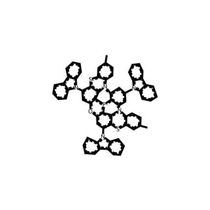 Cc1ccc2c(c1)sc1c(-n3c4ccccc4c4ccccc43)cc3oc4cc(-n5c6ccccc6c6ccccc65)c5sc6cc(C)ccc6n6c7cc(-n8c9ccccc9c9ccccc98)cc8c7p(c3c1n28)c4c56